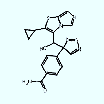 NC(=O)c1ccc(C2(C(O)c3c(C4CC4)sc4cncn34)C=NN=N2)cc1